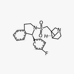 O=S(=O)(C[C@H]1CN2CCC1CC2)N1CCc2ccccc2[C@@H]1c1ccc(F)cc1